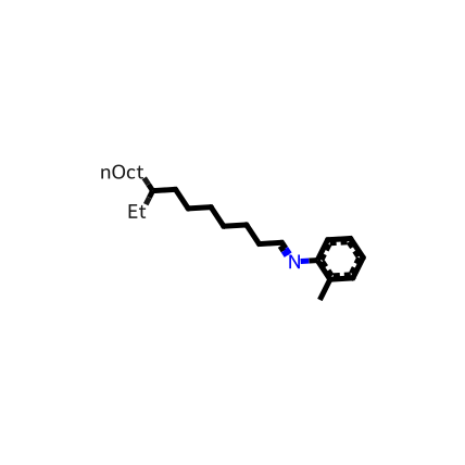 CCCCCCCCC(CC)CCCCCCC=Nc1ccccc1C